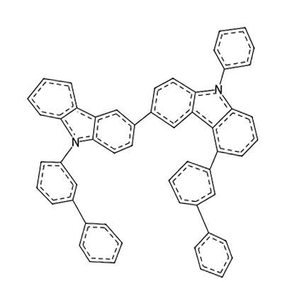 c1ccc(-c2cccc(-c3cccc4c3c3cc(-c5ccc6c(c5)c5ccccc5n6-c5cccc(-c6ccccc6)c5)ccc3n4-c3ccccc3)c2)cc1